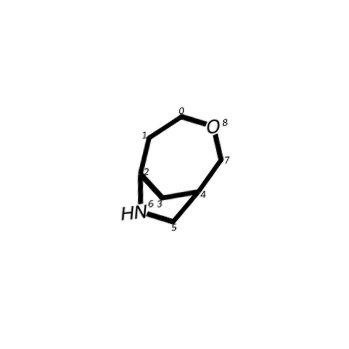 C1CC2CC(CN2)CO1